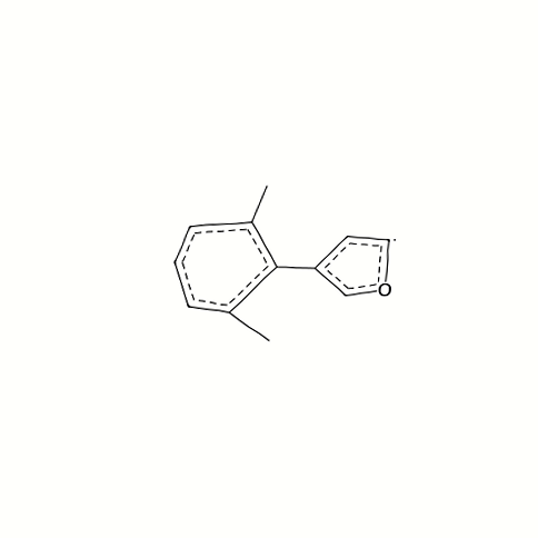 Cc1cccc(C)c1-c1c[c]oc1